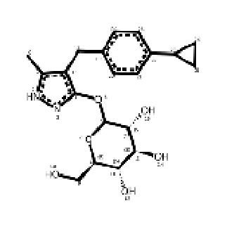 Cc1[nH]nc(OC2O[C@H](CO)[C@@H](O)[C@H](O)[C@H]2O)c1Cc1ccc(C2CC2)cc1